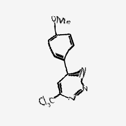 COc1ccc(-c2cc(C(Cl)(Cl)Cl)nnn2)cc1